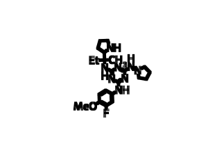 CCC(C)(Nc1nc(Nc2ccc(OC)c(F)c2)nc(NN2CCCC2)n1)C1CCCN1